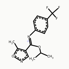 Cc1oncc1/C(=N/c1ccc(C(F)(F)F)cc1)OC(C)C